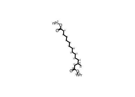 CCCOC(=O)CCCCCCCCCCCC(C)CC(=O)OCCC